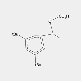 CC(OC(=O)O)c1cc(C(C)(C)C)cc(C(C)(C)C)c1